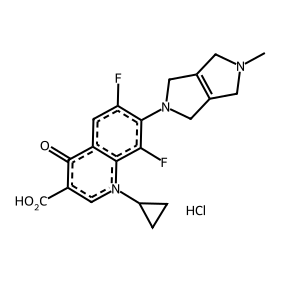 CN1CC2=C(C1)CN(c1c(F)cc3c(=O)c(C(=O)O)cn(C4CC4)c3c1F)C2.Cl